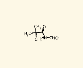 CC(C)(C)C(=O)NC=O